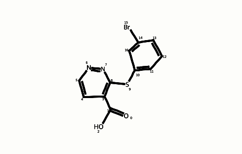 O=C(O)c1ccnnc1Sc1cccc(Br)c1